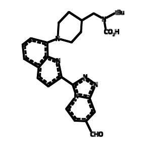 CC(C)(C)N(CC1CCN(c2cccc3ccc(-c4nnc5cc(C=O)ccn45)nc23)CC1)C(=O)O